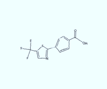 O=C(O)c1ccc(-c2ncc(C(F)(F)F)s2)cc1